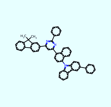 CC1(C)c2ccccc2-c2ccc(-c3cc(-c4ccc(-n5c6ccccc6c6cc(-c7ccccc7)ccc65)c5ccccc45)nc(-c4ccccc4)n3)cc21